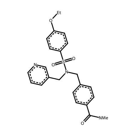 CCOc1ccc(S(=O)(=O)N(Cc2ccc(C(=O)NC)cc2)Cc2cccnc2)cc1